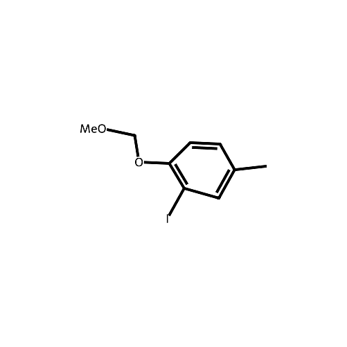 COCOc1ccc(C)cc1I